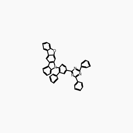 c1ccc(-c2nc(-c3ccccc3)nc(-c3ccc(-n4c5ccccc5c5cc6c(cc54)oc4ccccc46)c(-c4ccccc4)c3)n2)cc1